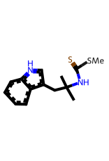 CSC(=S)NC(C)(C)Cc1c[nH]c2ccccc12